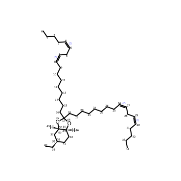 CCCC/C=C\C/C=C\CCCCCCCCC1(CCCCCCCC/C=C\C/C=C\CCCC)O[C@H]2C[C@H](CC)CC[C@H]2O1